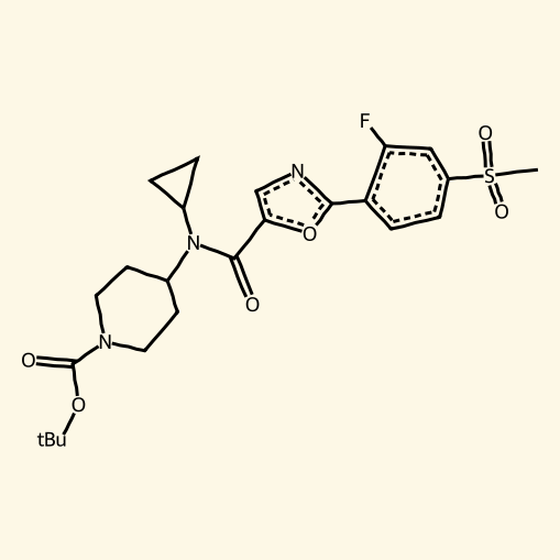 CC(C)(C)OC(=O)N1CCC(N(C(=O)c2cnc(-c3ccc(S(C)(=O)=O)cc3F)o2)C2CC2)CC1